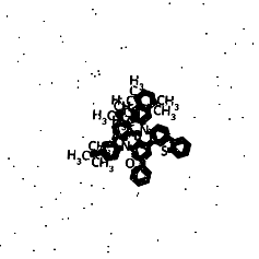 Cc1cc2c(cc1N1B3c4c(cc5c(oc6ccccc65)c4-n4c5ccc(C(C)(C)C)cc5c5cc(C(C)(C)C)cc3c54)-c3c1ccc1c3sc3ccccc31)C(C)(C)CCC2(C)C